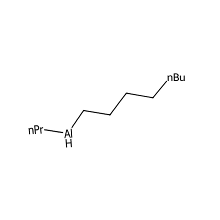 CCCCCCC[CH2][AlH][CH2]CC